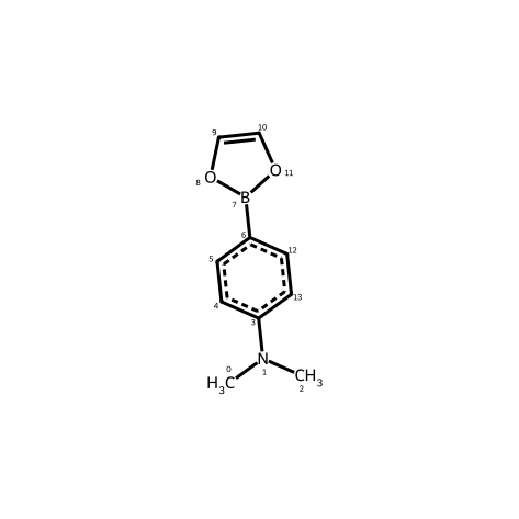 CN(C)c1ccc(B2OC=CO2)cc1